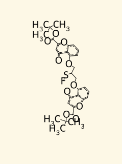 CC(C)(C)OC(=O)c1cc(=O)c2c(OCC(COc3cccc4oc(C(=O)OC(C)(C)C)cc(=O)c34)SF)cccc2o1